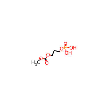 COC(=O)OCCCOP(=O)(O)O